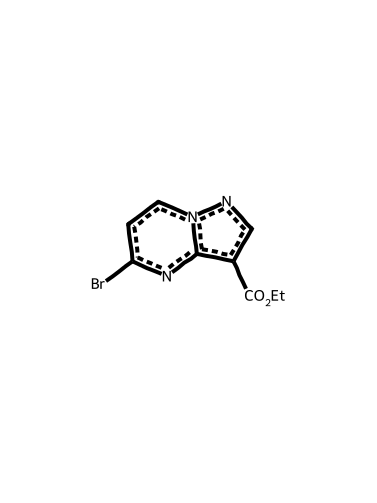 CCOC(=O)c1cnn2ccc(Br)nc12